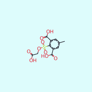 Cc1cc(C(=O)O)c(S(=O)(=O)OCC(=O)O)c(C(=O)O)c1